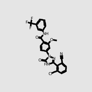 COc1cc(-n2nc(-c3c(Cl)cccc3C#N)[nH]c2=O)ccc1C(=O)Nc1cccc(C(F)(F)F)c1